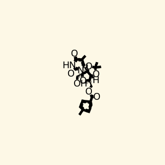 Cc1ccc(C(=O)OC[C@H]2O[C@](CO)(n3cc(C)c(=O)[nH]c3=O)[C@@H]3OC(C)(C)O[C@@H]32)cc1